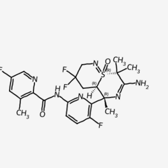 Cc1cc(F)cnc1C(=O)Nc1ccc(F)c([C@@]2(C)N=C(N)C(C)(C)[S@@]3(=O)=NCC(F)(F)C[C@H]23)n1